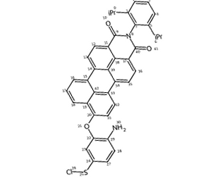 CC(C)c1cccc(C(C)C)c1N1C(=O)c2ccc3c4cccc5c(Oc6cc(SCl)ccc6N)ccc(c6ccc(c2c36)C1=O)c54